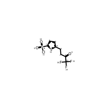 O=C(CCc1ccc(S(=O)(=O)Cl)s1)C(F)(F)F